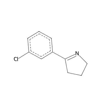 Clc1cccc(C2=NCCC2)c1